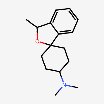 CC1OC2(CCC(N(C)C)CC2)c2ccccc21